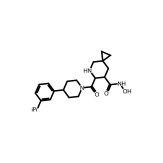 CC(C)c1cccc(C2CCN(C(=O)C3NCC4(CC4)CC3C(=O)NO)CC2)c1